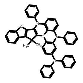 CC1(C)C2=C(c3oc4ccccc4c31)N(c1ccccc1)c1cccc3c1B2c1ccc(N(c2ccccc2)c2ccccc2)cc1N3c1ccccc1